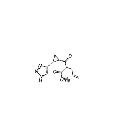 C=CCC(C(=O)OC)C(=O)[C@@H]1C[C@H]1c1c[nH]nn1